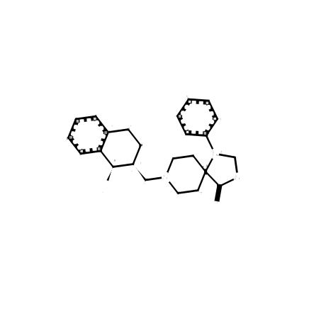 O=C1NCN(c2ccccc2)C12CCN(C[C@@H]1CCc3ccccc3[C@@H]1O)CC2